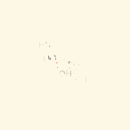 COc1cc(CC2CC2)c2c(c1)C13CCNC(C2)C1(O)CC(O)C(=O)C3